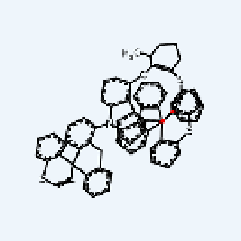 CC1CCCC2=C1Cc1cccc(N(c3cccc4c3Cc3ccccc3C43c4ccccc4Sc4ccccc43)c3cccc4c3-c3ccccc3C43c4ccccc4Sc4ccccc43)c1-c1ccccc1Cc1ccccc1S2